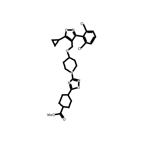 COC(=O)C1CCC(c2nc(N3CCC(OCc4c(-c5c(Cl)cccc5Cl)noc4C4CC4)CC3)no2)CC1